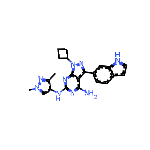 Cc1nn(C)cc1Nc1nc(N)c2c(-c3ccc4cc[nH]c4c3)nn(C3CCC3)c2n1